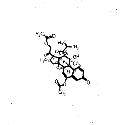 CC(=O)OCC(=O)[C@]1(OC(=O)C(C)C)[C@@H](C)C[C@H]2[C@@H]3C=C(OC(C)=O)C4=CC(=O)C=C[C@]4(C)[C@@]3(F)[C@@H](O)C[C@@]21C